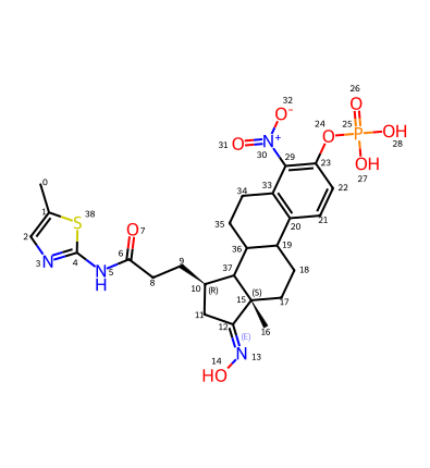 Cc1cnc(NC(=O)CC[C@@H]2C/C(=N\O)[C@@]3(C)CCC4c5ccc(OP(=O)(O)O)c([N+](=O)[O-])c5CCC4C23)s1